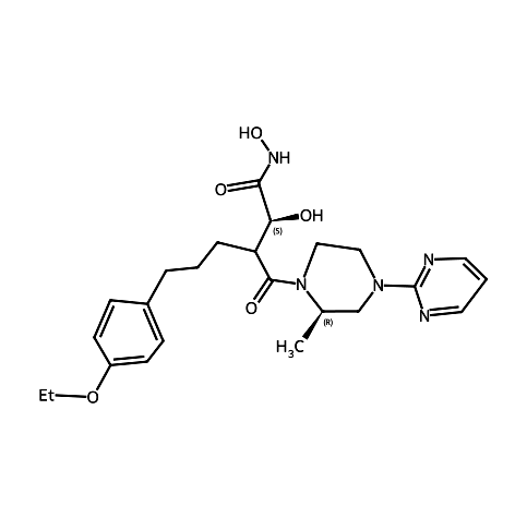 CCOc1ccc(CCCC(C(=O)N2CCN(c3ncccn3)C[C@H]2C)[C@H](O)C(=O)NO)cc1